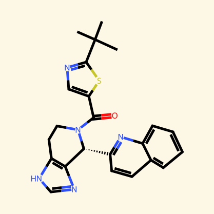 CC(C)(C)c1ncc(C(=O)N2CCc3[nH]cnc3[C@H]2c2ccc3ccccc3n2)s1